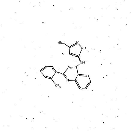 CC(C)(C)c1cc(Nc2nc(-c3ccccc3C(F)(F)F)nc3ccccc23)[nH]n1